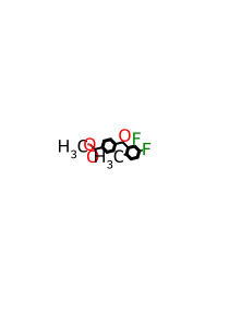 COC(=O)c1ccc(C(=O)c2c(C)ccc(F)c2F)cc1